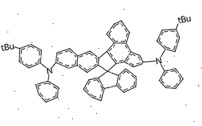 CC(C)(C)c1ccc(N(c2ccccc2)c2ccc3cc4c(cc3c2)C2(c3ccccc3-c3ccccc32)c2c-4c3ccccc3c3cc(N(c4ccccc4)c4ccc(C(C)(C)C)cc4)ccc23)cc1